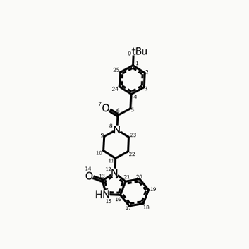 CC(C)(C)c1ccc(CC(=O)N2CCC(n3c(=O)[nH]c4ccccc43)CC2)cc1